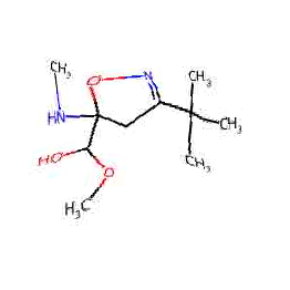 CNC1(C(O)OC)CC(C(C)(C)C)=NO1